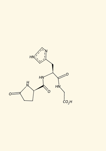 O=C(O)CNC(=O)[C@H](Cc1c[nH]cn1)NC(=O)[C@H]1CCC(=O)N1